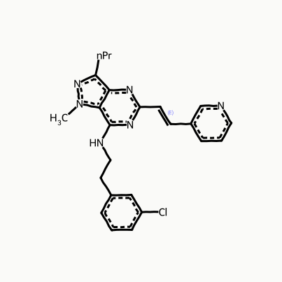 CCCc1nn(C)c2c(NCCc3cccc(Cl)c3)nc(/C=C/c3cccnc3)nc12